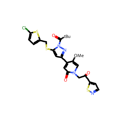 COc1cn(CC(=O)c2ccns2)c(=O)cc1-c1cc(SCc2ccc(Cl)s2)n(C(=O)C(C)(C)C)n1